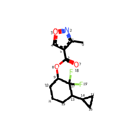 Cc1nocc1C(=O)OC1CCCC(C2CC2)C1(F)F